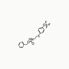 O=C(NCCSc1ccc(OC(F)(F)F)cc1)OCc1ccccc1